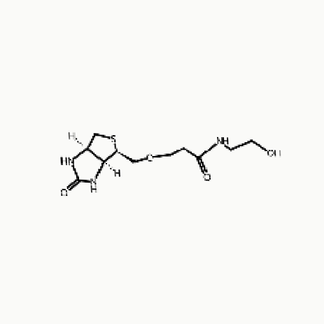 O=C(CCCC[C@@H]1SC[C@@H]2NC(=O)N[C@@H]21)NCCO